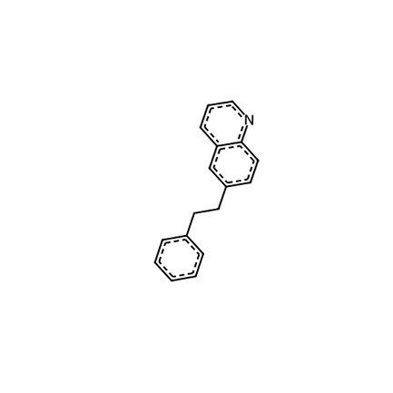 c1ccc(CCc2ccc3ncccc3c2)cc1